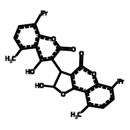 Cc1ccc(C(C)C)c2oc(=O)c(C3c4c(c5c(C)ccc(C(C)C)c5oc4=O)OC3O)c(O)c12